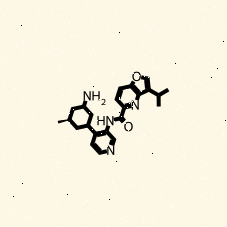 CC(C)c1coc2ccc(C(=O)Nc3cnccc3C3CC(N)C[C@H](C)C3)nc12